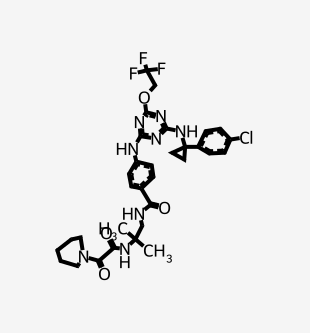 CC(C)(CNC(=O)c1ccc(Nc2nc(NC3(c4ccc(Cl)cc4)CC3)nc(OCC(F)(F)F)n2)cc1)NC(=O)C(=O)N1CCCCC1